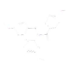 COc1ccc(C(=O)N(C(=O)c2ccc(OC)cc2)c2ncc(O)c(OC)n2)cc1